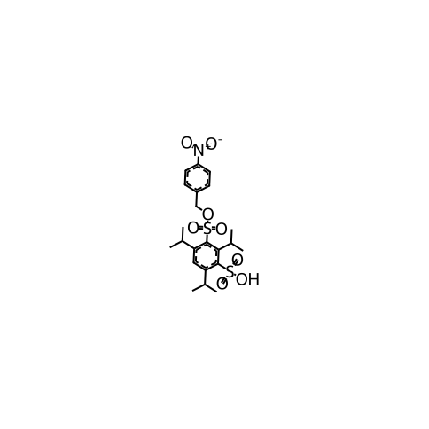 CC(C)c1cc(C(C)C)c(S(=O)(=O)OCc2ccc([N+](=O)[O-])cc2)c(C(C)C)c1S(=O)(=O)O